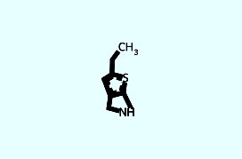 CCc1cc2c(s1)CNC2